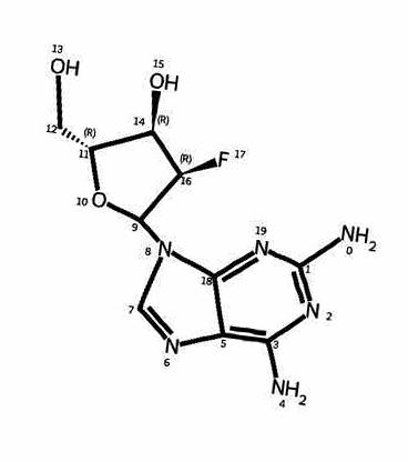 Nc1nc(N)c2ncn(C3O[C@H](CO)[C@@H](O)[C@H]3F)c2n1